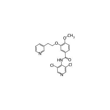 COc1ccc(C(=O)Nc2c(Cl)cncc2Cl)cc1OCCc1cccnc1